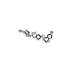 CC(C)(C)n1cc(NC(=O)Cc2ncc(Oc3ncnc4ccc(Br)cc34)cc2F)cn1